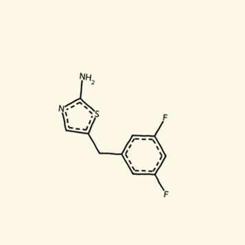 Nc1ncc(Cc2cc(F)cc(F)c2)s1